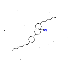 CCCCCCCC1CCC(C2CCC3(C#N)CC(CCCCCC)CCC3C2)CC1